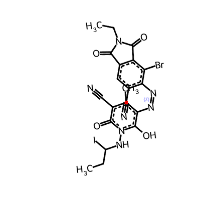 CCC(I)Nn1c(O)c(/N=N\c2c(C#N)cc3c(c2Br)C(=O)N(CC)C3=O)c(C)c(C#N)c1=O